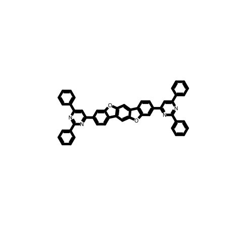 c1ccc(-c2cc(-c3ccc4c(c3)oc3cc5c(cc34)oc3cc(-c4cc(-c6ccccc6)nc(-c6ccccc6)n4)ccc35)nc(-c3ccccc3)n2)cc1